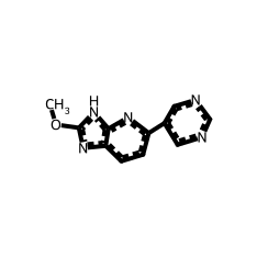 COc1nc2ccc(-c3cncnc3)nc2[nH]1